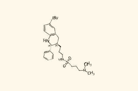 CN(C)CCCS(=O)(=O)NCCC[C@@H]1Cc2cc(C(C)(C)C)ccc2N[C@H]1c1ccccc1